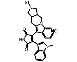 CCN1CC2Cc3c(C4=C(c5cn(C)c6ccccc56)C(=O)NC4=O)c4ccccc4n3CC2C1.Cl